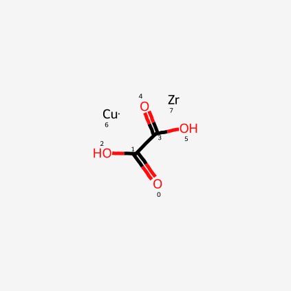 O=C(O)C(=O)O.[Cu].[Zr]